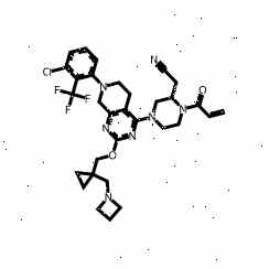 C=CC(=O)N1CCN(c2nc(OCC3(CN4CCC4)CC3)nc3c2CCN(c2cccc(Cl)c2C(F)(F)F)C3)CC1CC#N